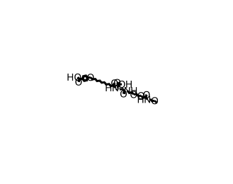 COCCNC(=O)COCCOCCNC(=O)CC[C@H](NC(=O)CCCCCCCCCOc1ccc(C(=O)O)cc1)C(=O)O